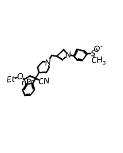 CCCC(CC(C#N)(c1ccccc1)C1CCN(CC2CN(c3ccc([S+](C)[O-])cc3)C2)CC1)OCC